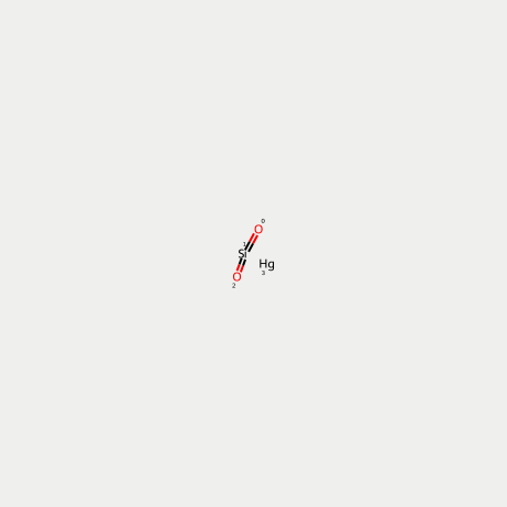 O=[Si]=O.[Hg]